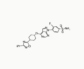 CC(C)c1noc(C2CCC(Oc3ncnc4c3cnn4-c3ccc(S(N)(=O)=O)cc3F)CC2)n1